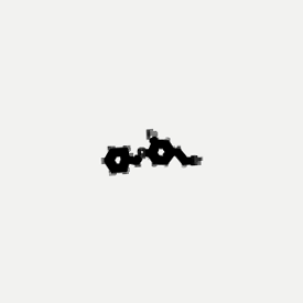 Fc1cc(CCBr)ccc1OCc1ccccc1